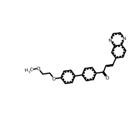 COCCOc1ccc(-c2ccc(C(=O)C=Cc3ccc4nccnc4c3)cc2)cc1